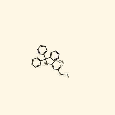 CCC(=CC(=O)OC)NC(c1ccccc1)(c1ccccc1)c1ccccc1